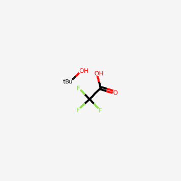 CC(C)(C)O.O=C(O)C(F)(F)F